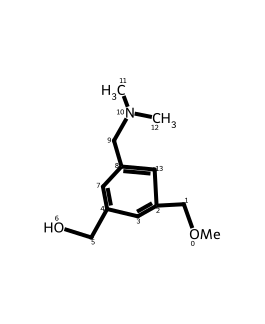 COCc1cc(CO)cc(CN(C)C)c1